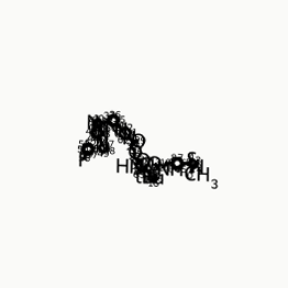 Cc1ncsc1-c1ccc(CNC(=O)[C@@H]2CCCN2C(=O)[C@@H](NC(=O)COCC(=O)N2CCN(c3cccc(-c4cnc5ccc(N6CCC[C@@H]6c6cccc(F)c6)nn45)n3)CC2)C(C)(C)C)cc1